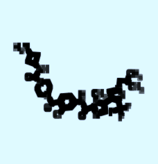 C=C(C)Cn1cc(-c2cnc(C(=O)Nc3ccc(C(=O)N4CCN(C(=O)NC5CC(N)C5)CC4)c(Cl)c3)n2C)c(C(F)(F)F)n1